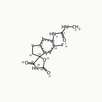 CNC(=O)Nc1cc2c(cc1F)C1(CC2)OC(=O)NC1=O